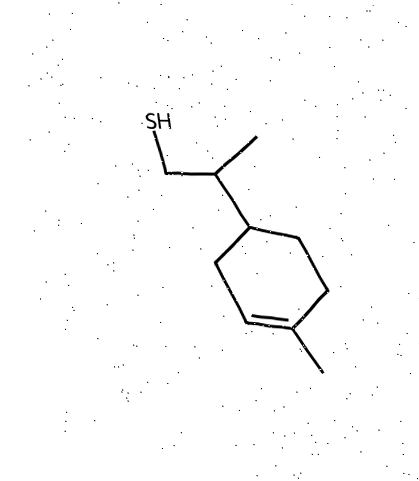 CC1=CCC(C(C)CS)CC1